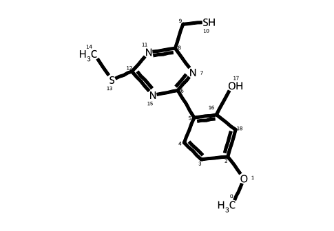 COc1ccc(-c2nc(CS)nc(SC)n2)c(O)c1